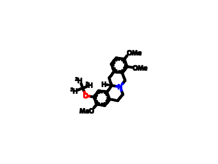 [2H]C([2H])([2H])Oc1cc2c(cc1OC)CCN1Cc3c(ccc(OC)c3OC)C[C@@H]21